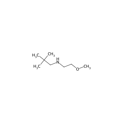 COCCNCC(C)(C)C